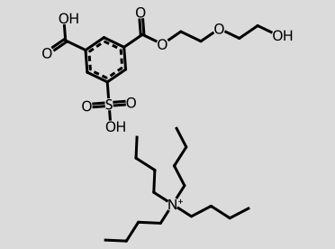 CCCC[N+](CCCC)(CCCC)CCCC.O=C(O)c1cc(C(=O)OCCOCCO)cc(S(=O)(=O)O)c1